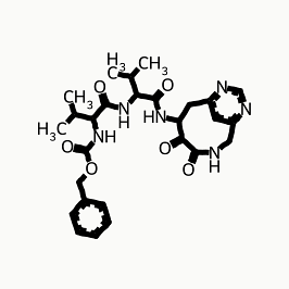 CC(C)C(NC(=O)OCc1ccccc1)C(=O)NC(C(=O)NC1Cc2cc(ncn2)CNC(=O)C1=O)C(C)C